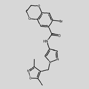 Cc1noc(C)c1Cn1cc(NC(=O)c2cc3c(cc2Br)OCCO3)cn1